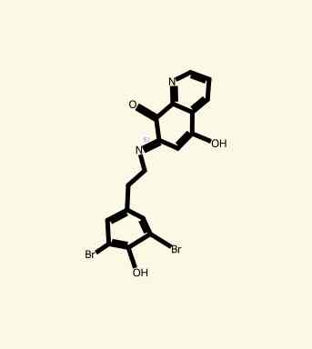 O=C1/C(=N/CCc2cc(Br)c(O)c(Br)c2)C=C(O)c2cccnc21